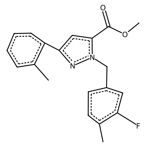 COC(=O)c1cc(-c2ccccc2C)nn1Cc1ccc(C)c(F)c1